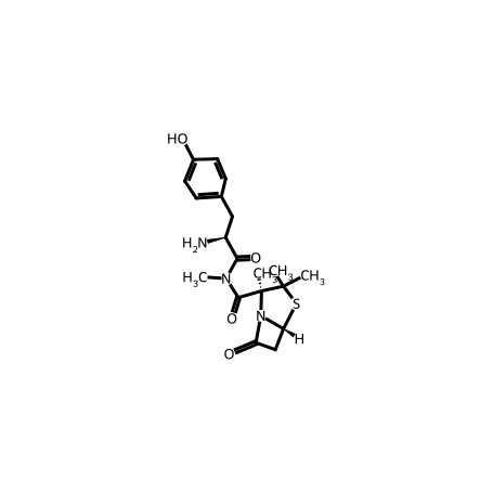 CN(C(=O)[C@@H](N)Cc1ccc(O)cc1)C(=O)[C@]1(C)N2C(=O)C[C@H]2SC1(C)C